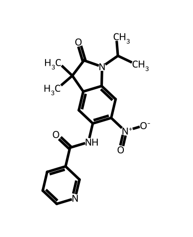 CC(C)N1C(=O)C(C)(C)c2cc(NC(=O)c3cccnc3)c([N+](=O)[O-])cc21